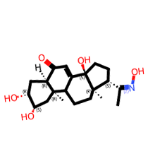 C/C(=N/O)[C@H]1CC[C@@]2(O)C3=CC(=O)[C@@H]4C[C@@H](O)[C@@H](O)C[C@]4(C)C3CC[C@]12C